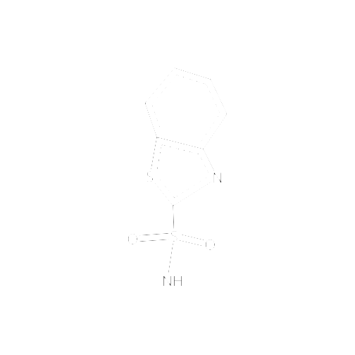 [NH]S(=O)(=O)c1nc2ccccc2s1